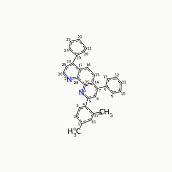 Cc1ccc(-c2cc(-c3ccccc3)c3ccc4c(-c5ccccc5)ccnc4c3n2)c(C)c1